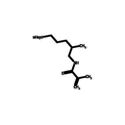 C=C(C)C(=O)NCC(C)CCCCCCCCCC